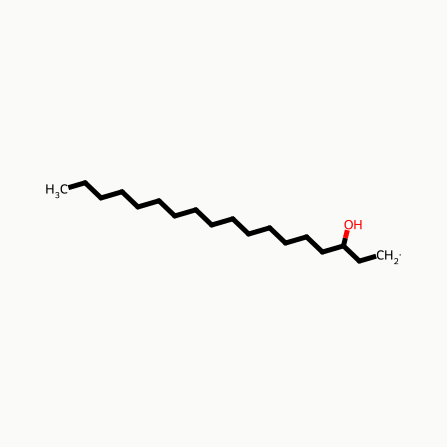 [CH2]CC(O)CCCCCCCCCCCCCCC